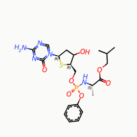 CC(C)COC(=O)[C@H](C)NP(=O)(OC[C@H]1S[C@@H](n2cnc(N)nc2=O)CC1O)Oc1ccccc1